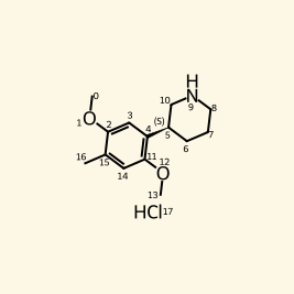 COc1cc([C@@H]2CCCNC2)c(OC)cc1C.Cl